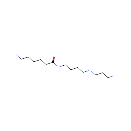 NCCCC[C@@H](N)C(=O)NCCCCNCCCN